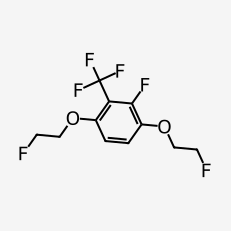 FCCOc1ccc(OCCF)c(C(F)(F)F)c1F